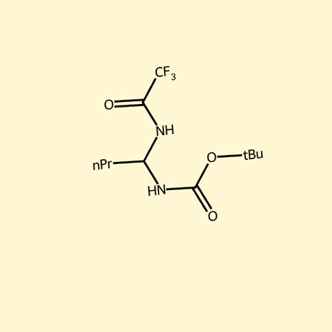 CCCC(NC(=O)OC(C)(C)C)NC(=O)C(F)(F)F